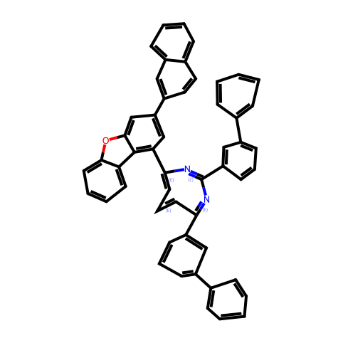 C1=C/C(c2cccc(-c3ccccc3)c2)=N\C(c2cccc(-c3ccccc3)c2)=N/C(c2cc(-c3ccc4ccccc4c3)cc3oc4ccccc4c23)=C/1